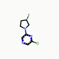 F[C@@H]1CCN(c2cncc(Cl)n2)C1